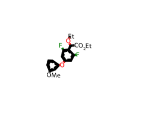 CCOC(=O)C(OCC)c1c(F)cc(Oc2cccc(OC)c2)cc1F